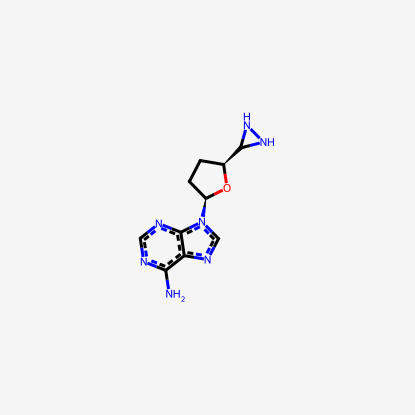 Nc1ncnc2c1ncn2[C@H]1CC[C@@H](C2NN2)O1